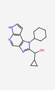 OC(c1nc2cnc3[nH]ccc3c2n1C1CCCCC1)C1CC1